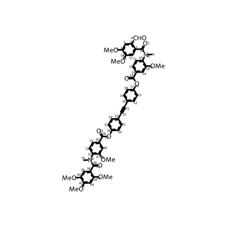 COc1cc(C=O)c(C(=O)N(C)c2ccc(C(=O)Oc3ccc(C#Cc4ccc(OC(=O)c5ccc(N(C)C(=O)c6cc(OC)c(OC)cc6OC)c(OC)c5)cc4)cc3)cc2OC)cc1OC